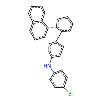 Brc1ccc(Nc2ccc(-c3ccccc3-c3cccc4ccccc34)cc2)cc1